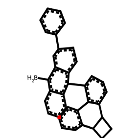 Bc1c2ccccc2c(-c2cccc3c2-c2ccccc2C2CCC32)c2ccc(-c3ccccc3)cc12